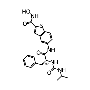 CC(C)NC(=O)N[C@@H](Cc1ccccc1)C(=O)Nc1ccc2sc(C(=O)NO)cc2c1